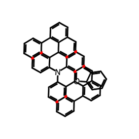 c1ccc(-c2cccc3cccc(-c4ccccc4N(c4ccccc4-c4cccc5cccc(-c6ccccc6)c45)c4cccc5c4oc4ccccc45)c23)cc1